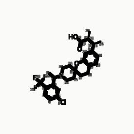 CC(c1cc(Cl)ccc1C(F)(F)F)N1CCC2(CCc3ccc([C@H](C)[C@H](C)C(=O)O)cc3O2)CC1